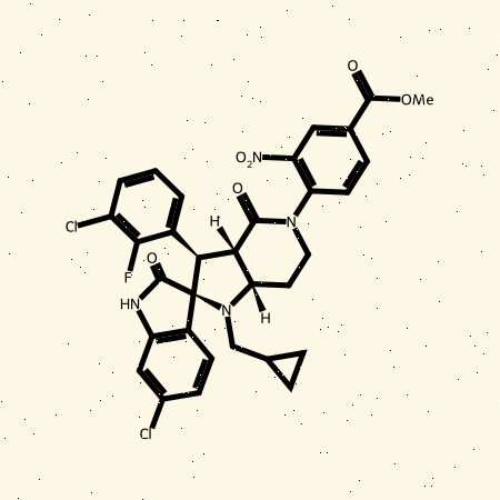 COC(=O)c1ccc(N2CC[C@H]3[C@@H](C2=O)[C@H](c2cccc(Cl)c2F)[C@]2(C(=O)Nc4cc(Cl)ccc42)N3CC2CC2)c([N+](=O)[O-])c1